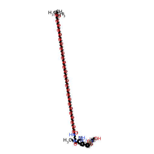 CCCN(CCCNC(=O)OCCOCCOCCOCCOCCOCCOCCOCCOCCOCCOCCOCCOCCOCCOCCOCCOCCOCCOCCOCCOCCOCCOCCOCCOCCC(=O)OC(C)(C)C)C(=O)C1=Cc2ccc(-c3cccc(S(=O)(=O)N4CC(CO)C4)c3)cc2N=C(N)C1